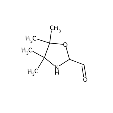 CC1(C)NC(C=O)OC1(C)C